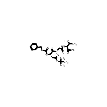 CC(C)[C@H](NC(=O)CNC(=O)[C@H](CC(=O)OC(C)(C)C)NC(=O)OCc1ccccc1)C(=O)O